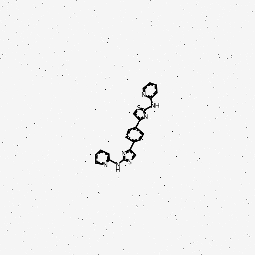 c1ccc(Nc2nc(-c3ccc(-c4csc(Nc5ccccn5)n4)cc3)cs2)nc1